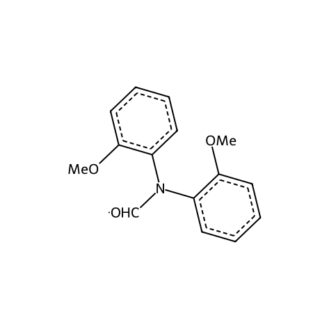 COc1ccccc1N([C]=O)c1ccccc1OC